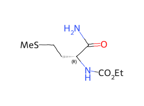 CCOC(=O)N[C@H](CCSC)C(N)=O